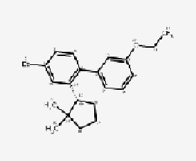 CCc1ccc(-c2cccc(OCC(F)(F)F)c2)c([C@@H]2CCCC2(C)C)c1